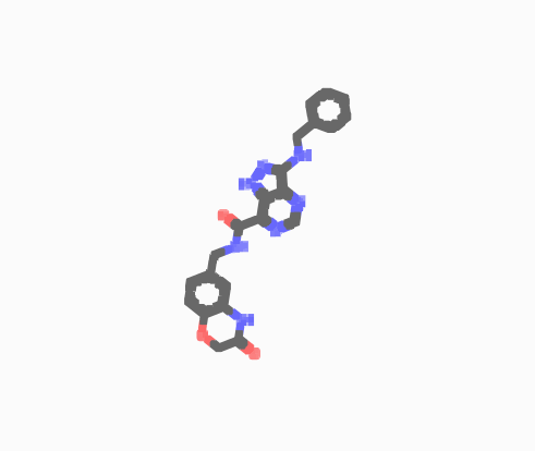 O=C1COc2ccc(CNC(=O)c3ncnc4c(NCc5ccccc5)n[nH]c34)cc2N1